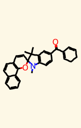 CN1c2ccc(C(=O)C3=CCCC=C3)cc2C(C)(C)C12C=Cc1ccc3ccccc3c1O2